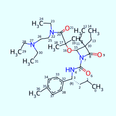 CCC[C@@H](NC(=O)N1C(=O)C(CC)(CC)C1OC(C)(C)C(=O)N(CC)CCN(CC)CC)c1ccc(C)cc1